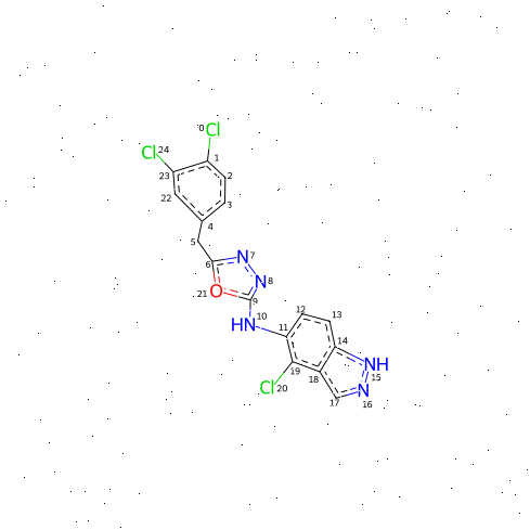 Clc1ccc(Cc2nnc(Nc3ccc4[nH]ncc4c3Cl)o2)cc1Cl